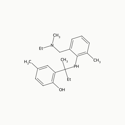 CCN(C)Cc1cccc(C)c1PC(C)(CC)c1cc(C)ccc1O